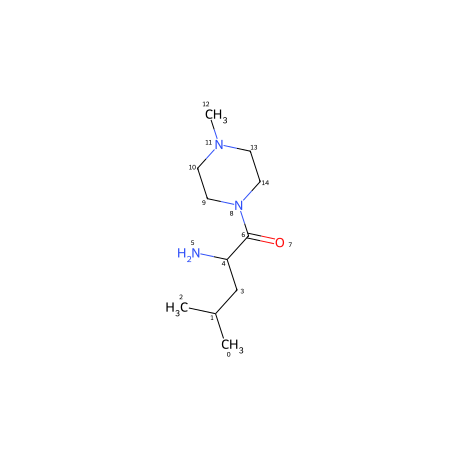 CC(C)CC(N)C(=O)N1CCN(C)CC1